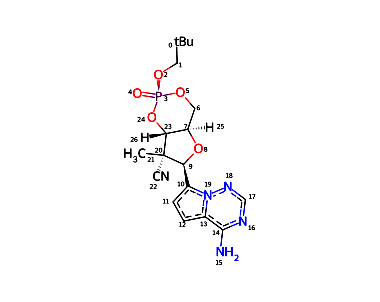 CC(C)(C)CO[P@@]1(=O)OC[C@H]2O[C@@H](c3ccc4c(N)ncnn34)[C@](C)(C#N)[C@@H]2O1